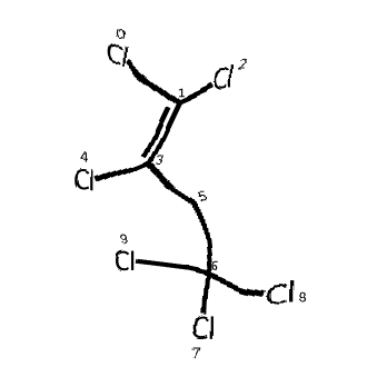 ClC(Cl)=C(Cl)CC(Cl)(Cl)Cl